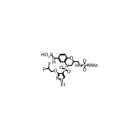 CCn1cc(S(=O)(=O)N2CC(CNS(=O)(=O)NC)Oc3ccc(NC(=O)O)cc32)c(OCC(F)F)n1